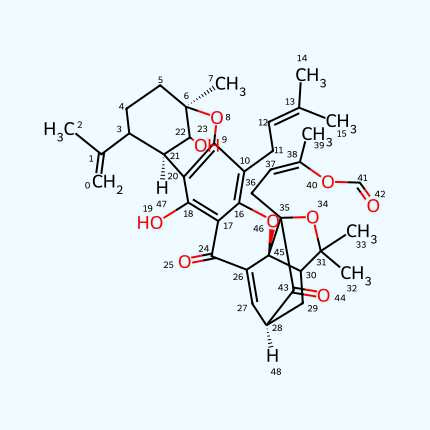 C=C(C)C1CC[C@@]2(C)Oc3c(CC=C(C)C)c4c(c(O)c3[C@@H]1C2O)C(=O)C1=C[C@@H]2CC3C(C)(C)OC(C/C=C(/C)OC=O)(C2=O)[C@@]13O4